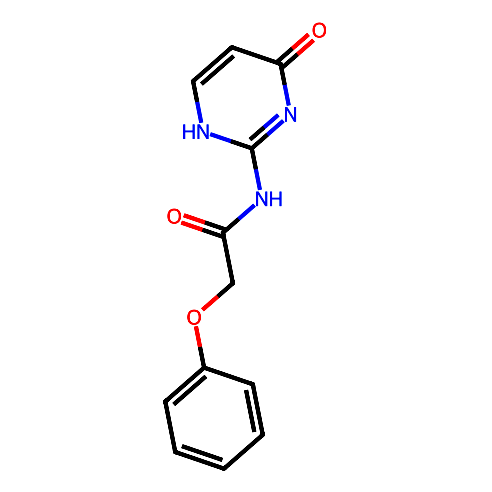 O=C(COc1ccccc1)Nc1nc(=O)cc[nH]1